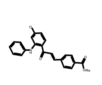 COC(=O)c1ccc(/C=C/C(=O)c2ccc(Cl)cc2Nc2ccccc2)cc1